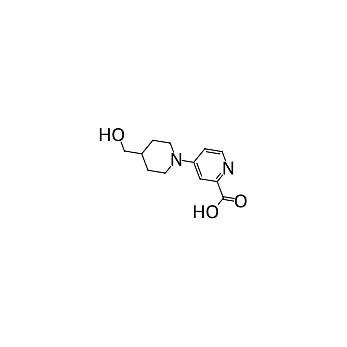 O=C(O)c1cc(N2CCC(CO)CC2)ccn1